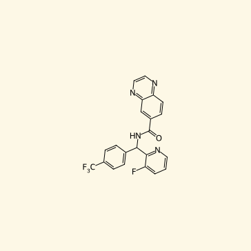 O=C(NC(c1ccc(C(F)(F)F)cc1)c1ncccc1F)c1ccc2nccnc2c1